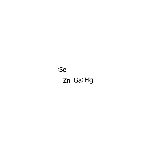 [Ga].[Hg].[Se].[Zn]